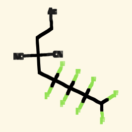 CC(=O)CCC(C#N)(C#N)CC(F)(F)C(F)(F)C(F)(F)C(F)F